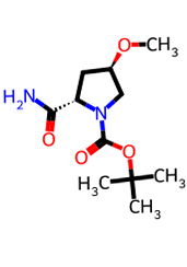 CO[C@@H]1C[C@@H](C(N)=O)N(C(=O)OC(C)(C)C)C1